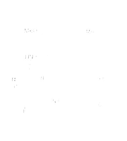 COc1ccc(Nc2ncc(F)c(Nc3ccc4c(c3)OCCO4)n2)c(OC)c1